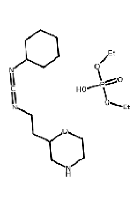 C(=NCCC1CNCCO1)=NC1CCCCC1.CCOP(=O)(O)OCC